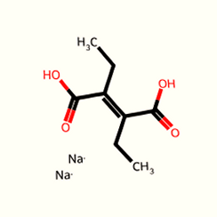 CCC(C(=O)O)=C(CC)C(=O)O.[Na].[Na]